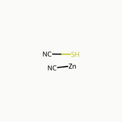 N#CS.N#[C][Zn]